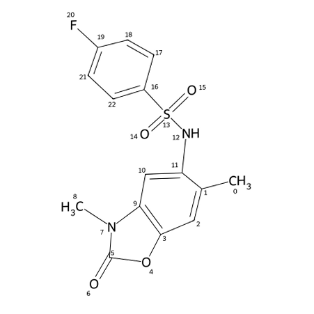 Cc1cc2oc(=O)n(C)c2cc1NS(=O)(=O)c1ccc(F)cc1